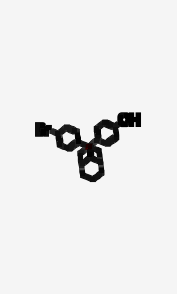 Oc1ccc(C(=C2C3CCCC2CCC3)c2ccc(Br)cc2)cc1